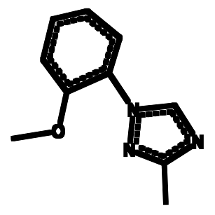 COc1ccccc1-n1cnc(C)n1